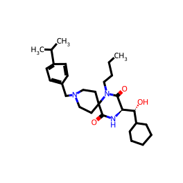 CCCCN1C(=O)[C@@H]([C@H](O)C2CCCCC2)NC(=O)C12CCN(Cc1ccc(C(C)C)cc1)CC2